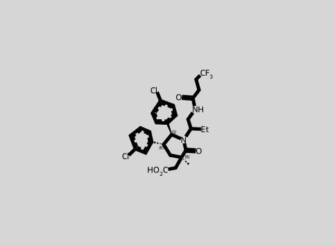 CCC(CNC(=O)CCC(F)(F)F)N1C(=O)[C@@](C)(CC(=O)O)C[C@H](c2cccc(Cl)c2)[C@H]1c1ccc(Cl)cc1